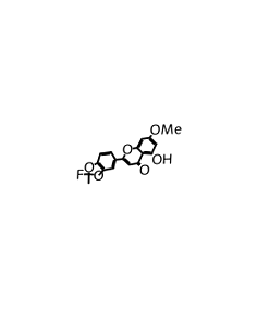 COc1cc(O)c2c(=O)cc(-c3ccc4c(c3)OC(C)(F)O4)oc2c1